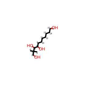 CC(C)(CO)C(O)C(O)CCCCCCCO